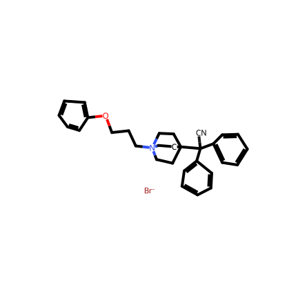 N#CC(c1ccccc1)(c1ccccc1)C12CC[N+](CCCOc3ccccc3)(CC1)CC2.[Br-]